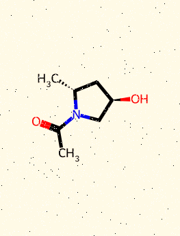 CC(=O)N1C[C@H](O)C[C@H]1C